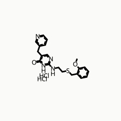 COc1ccccc1CSCCNc1ncc(Cc2cccnc2)c(=O)[nH]1.Cl.Cl